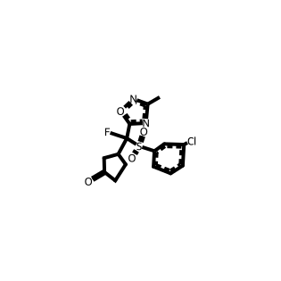 Cc1noc(C(F)(C2CCC(=O)C2)S(=O)(=O)c2cccc(Cl)c2)n1